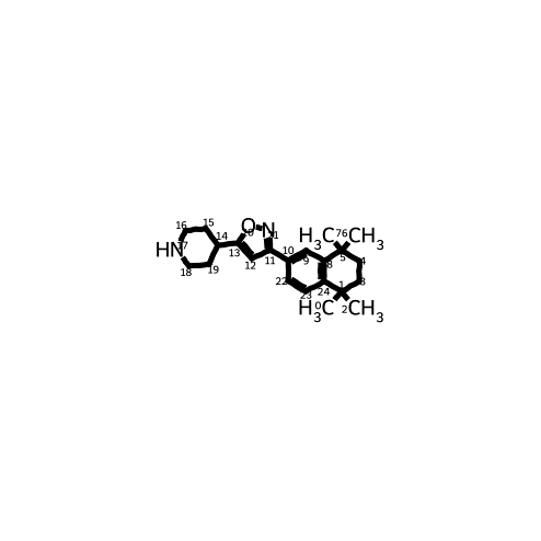 CC1(C)CCC(C)(C)c2cc(-c3cc(C4CCNCC4)on3)ccc21